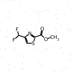 COC(=O)c1nc(C(F)F)cs1